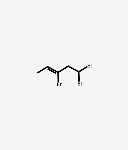 [CH2]/C=C(\CC)CC(CC)CC